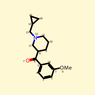 COc1cccc(C(=O)C2CCCN(CC3CC3)C2)c1